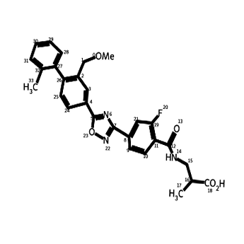 COCc1cc(-c2nc(-c3ccc(C(=O)NCC(C)C(=O)O)c(F)c3)no2)ccc1-c1ccccc1C